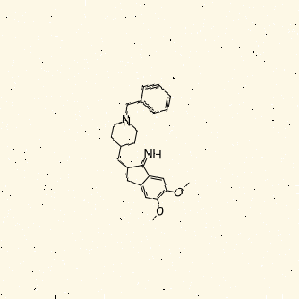 COc1cc2c(cc1OC)C(=N)C(CC1CCN(Cc3ccccc3)CC1)C2